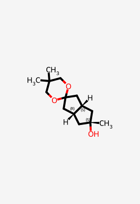 CC1(C)COC2(C[C@@H]3C[C@](C)(O)C[C@@H]3C2)OC1